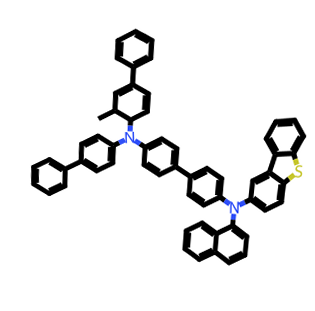 CC1C=C(c2ccccc2)C=CC1N(c1ccc(-c2ccccc2)cc1)c1ccc(-c2ccc(N(c3ccc4sc5ccccc5c4c3)c3cccc4ccccc34)cc2)cc1